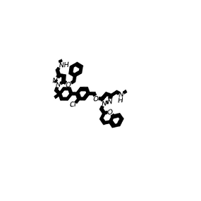 CNCc1cc(OCc2ccc(C3CCC(C)(Cn4nc(CNC)cc4OCc4ccccc4)CC3)c(Cl)c2)n(CC2CCc3ccccc3O2)n1